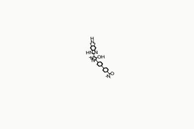 CN(C)C(=O)c1ccc(-c2ccc(-c3nn(C)c(-c4nc5cc6c(cc5[nH]4)CNC6)c3O)cc2)cc1